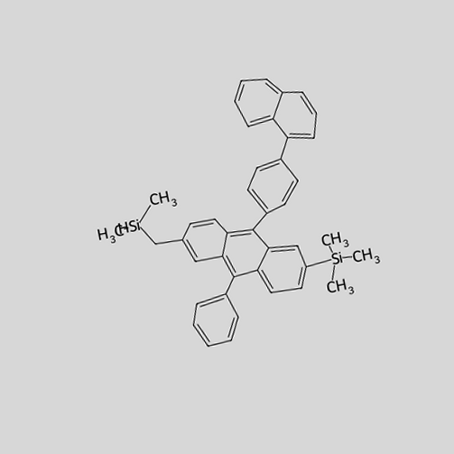 C[SiH](C)Cc1ccc2c(-c3ccc(-c4cccc5ccccc45)cc3)c3cc([Si](C)(C)C)ccc3c(-c3ccccc3)c2c1